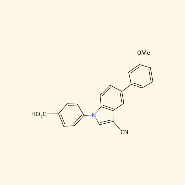 COc1cccc(-c2ccc3c(c2)c(C#N)cn3-c2ccc(C(=O)O)cc2)c1